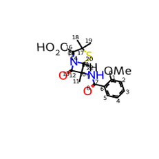 COc1ccccc1C(=O)NC1(C)C(=O)N2[C@@H](C(=O)O)C(C)(C)S[C@@H]21